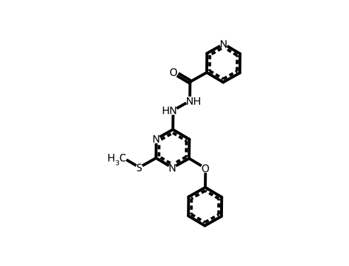 CSc1nc(NNC(=O)c2cccnc2)cc(Oc2ccccc2)n1